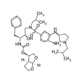 CC(C)CN1CC[C@H](Nc2cc(S(=O)(=O)N(CC(C)C)C[C@@H](O)[C@H](Cc3ccccc3)NC(=O)O[C@H]3CO[C@H]4OCC[C@H]43)ccc2N)C1